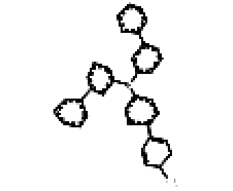 CC1C=CC(c2ccc(N(c3cccc(-c4ccccc4)c3)c3cccc(-c4ccccc4)c3)cc2)=CC1